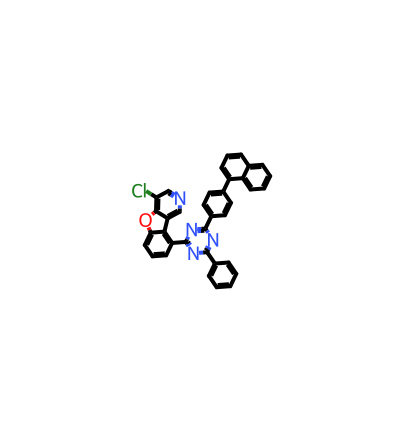 Clc1cncc2c1oc1cccc(-c3nc(-c4ccccc4)nc(-c4ccc(-c5cccc6ccccc56)cc4)n3)c12